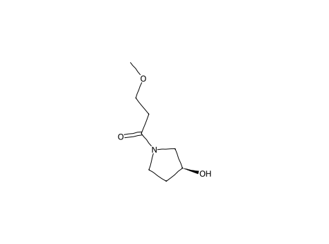 COCCC(=O)N1CC[C@H](O)C1